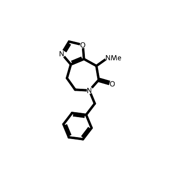 CNC1C(=O)N(Cc2ccccc2)CCc2ncoc21